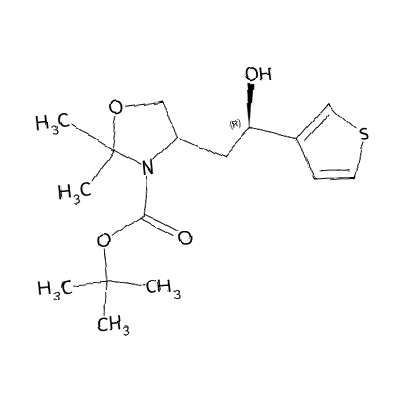 CC(C)(C)OC(=O)N1C(C[C@@H](O)c2ccsc2)COC1(C)C